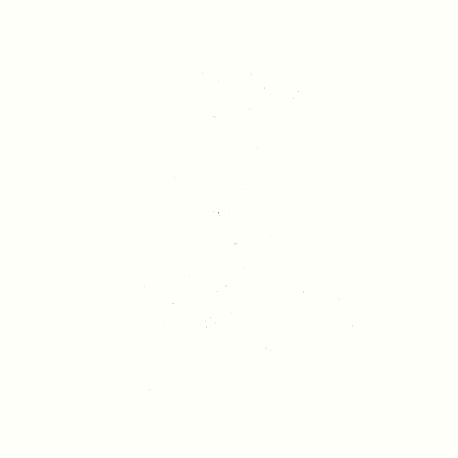 CC(C)([CH2][Sn+]([CH2]C(C)(C)c1ccccc1)[CH2]C(C)(C)c1ccccc1)c1ccccc1.CC(C)CC(C)(C)CC(=O)[O-]